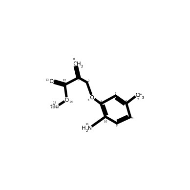 C=C(COc1cc(C(F)(F)F)ccc1N)C(=O)OC(C)(C)C